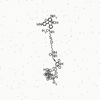 C=C(NCCSSCOCCCCCNC(=O)NCC#Cc1cn([C@H]2CC(OCS(=S)CC)[C@@H](COP(=O)(O)OP(=O)(O)OP(=O)(O)O)O2)c(=O)[nH]c1=O)c1ccc(C(=O)O)c(-c2c3ccc(=N)cc-3oc3cc(N)ccc23)c1